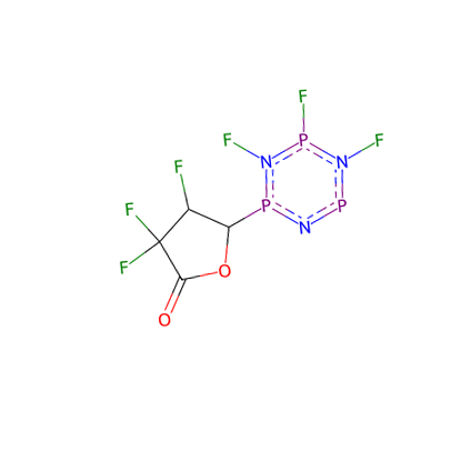 O=C1OC(p2npn(F)p(F)n2F)C(F)C1(F)F